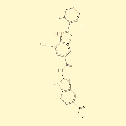 COC(=O)c1ccc2[nH]c(NC(=O)c3cc(OC)c4[nH]c(-c5c(F)cccc5Cl)nc4c3)nc2c1